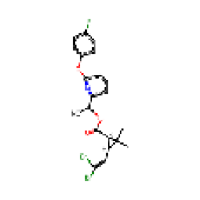 CC1(C)[C@H](C(=O)OC(C#N)c2cccc(Oc3ccc(F)cc3)n2)[C@@H]1C=C(Br)Br